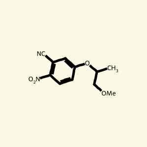 COCC(C)Oc1ccc([N+](=O)[O-])c(C#N)c1